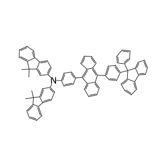 CC1(C)c2ccccc2-c2ccc(N(c3ccc(-c4c5ccccc5c(-c5ccc(C6(c7ccccc7)c7ccccc7-c7ccccc76)cc5)c5ccccc45)cc3)c3ccc4c(c3)C(C)(C)c3ccccc3-4)cc21